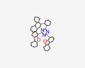 c1ccc(-c2cc3ccccc3c3ccccc23)c(-c2nc(-c3cccc4c3oc3ccccc34)nc(-c3cccc4c3oc3ccccc34)n2)c1